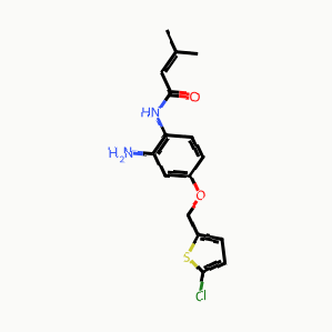 CC(C)=CC(=O)Nc1ccc(OCc2ccc(Cl)s2)cc1N